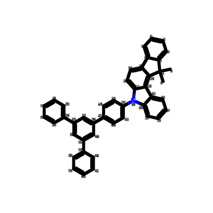 CC1(C)c2ccccc2-c2ccc3c(c21)c1ccccc1n3-c1ccc(-c2cc(-c3ccccc3)cc(-c3ccccc3)c2)cc1